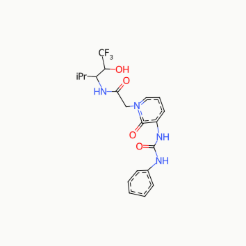 CC(C)C(NC(=O)Cn1cccc(NC(=O)Nc2ccccc2)c1=O)C(O)C(F)(F)F